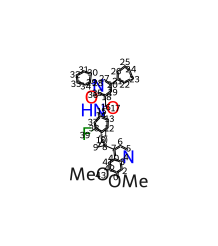 COc1cc2nccc(C3C[C@@H]3c3ccc(NC(=O)c4cc(-c5ccccc5)cn(-c5ccccc5)c4=O)cc3F)c2cc1OC